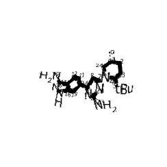 C[C@@H]1C[CH]C(C(C)(C)C)N(c2cc(-c3ccc4c(N)n[nH]c4c3)nc(N)n2)C1